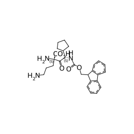 NCCC[C@@](N)(C(=O)O)C(=O)[C@@H](NC(=O)OCC1c2ccccc2-c2ccccc21)C1CCCC1